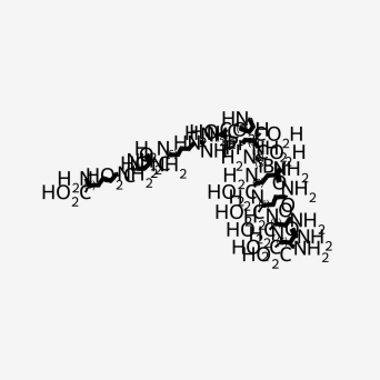 CC(C)C[C@H](N)C(=O)O.CC(C)[C@H](N)C(=O)O.CC[C@H](C)[C@H](N)C(=O)O.N=C(N)NCCC[C@H](N)C(=O)O.NC(=O)CC[C@H](N)C(=O)O.NC(=O)CC[C@H](N)C(=O)O.NC(=O)C[C@H](N)C(=O)O.NC(=O)C[C@H](N)C(=O)O.NC(=O)C[C@H](N)C(=O)O.NCC(=O)O.NCCCC[C@H](N)C(=O)O.O=C(O)[C@@H]1CCCN1